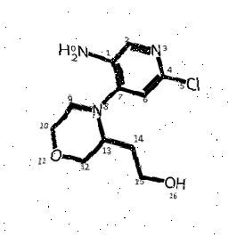 Nc1cnc(Cl)cc1N1CCOCC1CCO